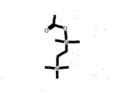 CC(=O)O[Si](C)(C)CC[Si](C)(C)C